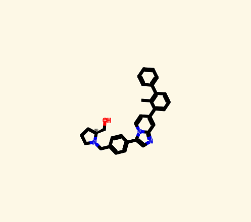 Cc1c(-c2ccccc2)cccc1-c1ccn2c(-c3ccc(CN4CCC[C@H]4CO)cc3)cnc2c1